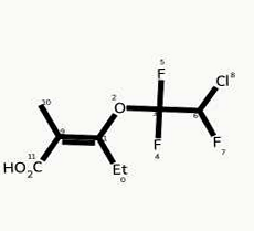 CC/C(OC(F)(F)C(F)Cl)=C(/C)C(=O)O